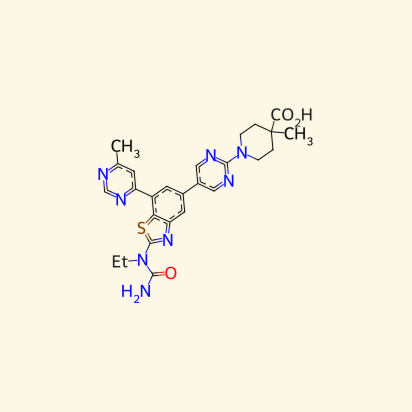 CCN(C(N)=O)c1nc2cc(-c3cnc(N4CCC(C)(C(=O)O)CC4)nc3)cc(-c3cc(C)ncn3)c2s1